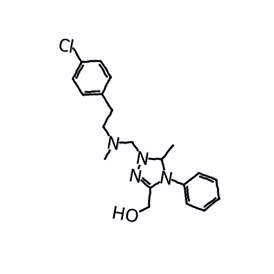 CC1N(CN(C)CCc2ccc(Cl)cc2)N=C(CO)N1c1ccccc1